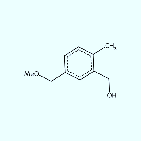 COCc1ccc(C)c(CO)c1